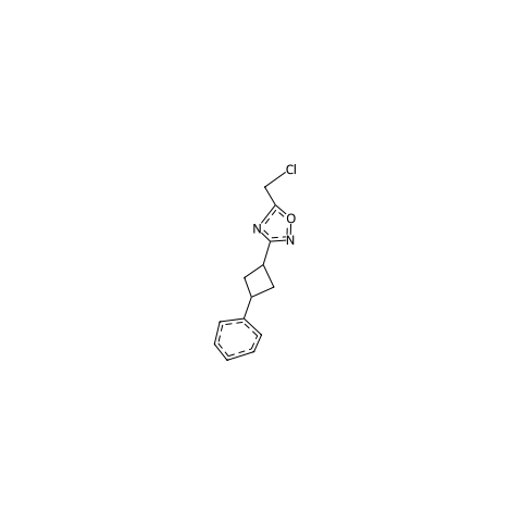 ClCc1nc(C2CC(c3ccccc3)C2)no1